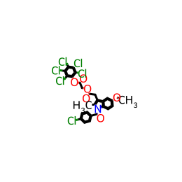 COc1ccc2c(c1)c(CC(=O)OCC(=O)Oc1c(Cl)c(Cl)c(Cl)c(Cl)c1Cl)c(C)n2C(=O)c1ccc(Cl)cc1